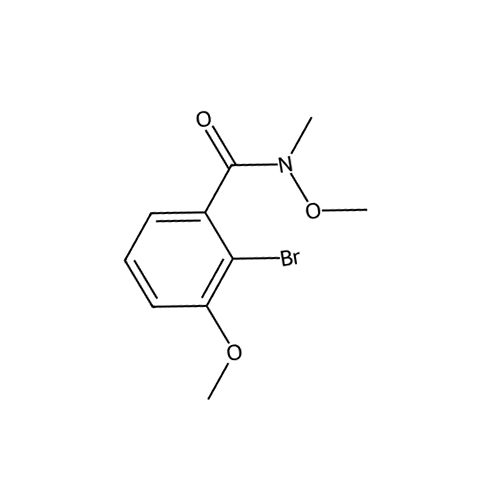 COc1cccc(C(=O)N(C)OC)c1Br